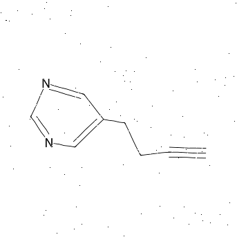 C#CCCc1cncnc1